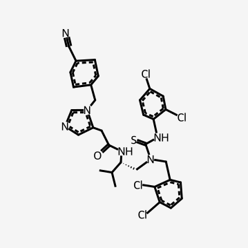 CC(C)[C@@H](CN(Cc1cccc(Cl)c1Cl)C(=S)Nc1ccc(Cl)cc1Cl)NC(=O)Cc1cncn1Cc1ccc(C#N)cc1